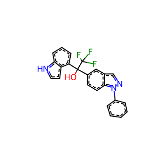 OC(c1ccc2c(cnn2-c2ccccc2)c1)(c1cccc2[nH]ccc12)C(F)(F)F